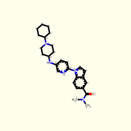 CN(C)C(=O)c1ccc2c(ccn2-c2ccc(NC3CCN(C4CCCCC4)CC3)cn2)c1